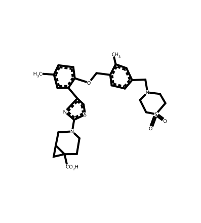 Cc1ccc(OCc2ccc(CN3CCS(=O)(=O)CC3)cc2C)c(-c2csc(N3CCC4(C(=O)O)CC4C3)n2)c1